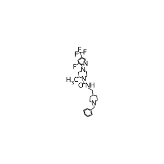 C[C@@H]1CN(c2ncc(C(F)(F)F)cc2F)CCN1C(=O)NCCC1CCN(Cc2ccccc2)CC1